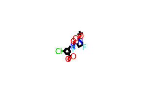 COC(=O)c1cc(Cl)cc(CN(F)C(=O)[C@@H]2C[C@@H](F)CN2C(=O)OC(C)(C)C)c1